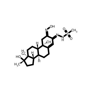 C[C@]12CC(=N/O)/C(=N/NS(C)(=O)=O)C=C1CC[C@@H]1[C@@H]2CC[C@@]2(C)[C@H]1CC[C@]2(C)O